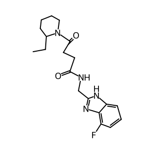 CCC1CCCCN1C(=O)CCC(=O)NCc1nc2c(F)cccc2[nH]1